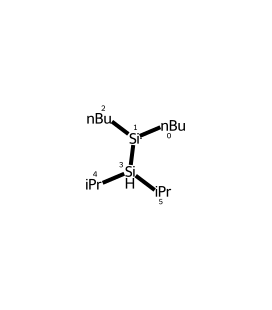 CCCC[Si](CCCC)[SiH](C(C)C)C(C)C